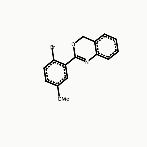 COc1ccc(Br)c(C2=Nc3ccccc3CO2)c1